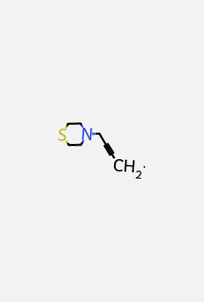 [CH2]C#CCN1CCSCC1